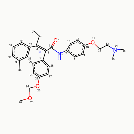 CC/C(=C(\C(=O)Nc1ccc(OCCN(C)C)cc1)c1ccc(OCOC)cc1)c1cccc(C)c1